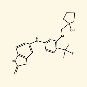 O=C1Cc2cc(Nc3ncc(C(F)(F)F)c(NCC4(O)CCCC4)n3)ccc2N1